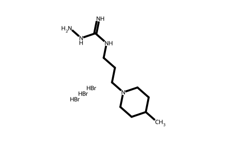 Br.Br.Br.CC1CCN(CCCNC(=N)NN)CC1